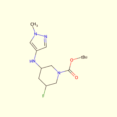 Cn1cc(NC2CC(F)CN(C(=O)OC(C)(C)C)C2)cn1